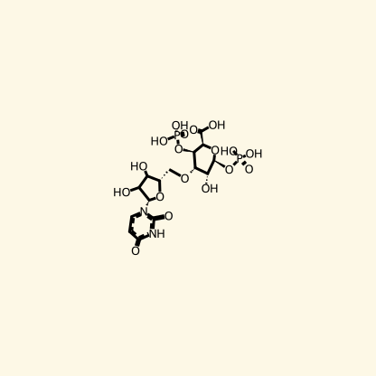 O=C(O)[C@H]1O[C@@H](OP(=O)(O)O)[C@H](O)[C@H](OC[C@@H]2O[C@H](n3ccc(=O)[nH]c3=O)C(O)C2O)[C@H]1OP(=O)(O)O